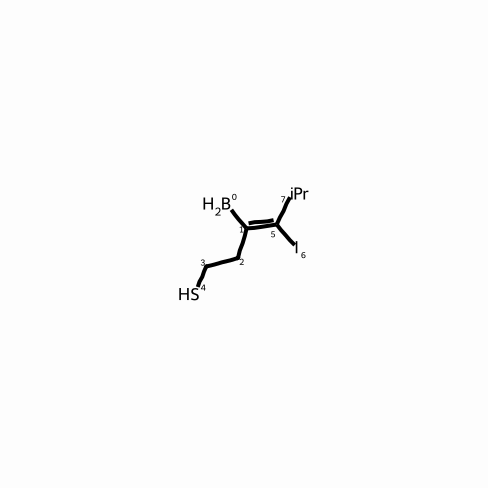 B/C(CCS)=C(/I)C(C)C